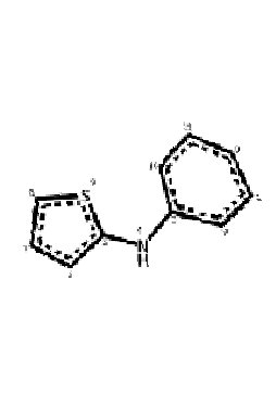 c1ccc(Nc2cccs2)cc1